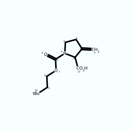 C=C1CCN(C(=O)OCCC(C)(C)C)C1C(=O)O